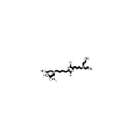 CC(O)CN(CCO)CCCCC1OC(=O)C(CCCCN(CCO)CCO)OC1=O